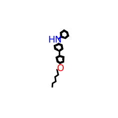 CCCCCCOc1ccc(-c2ccc(Nc3ccccc3)cc2)cc1